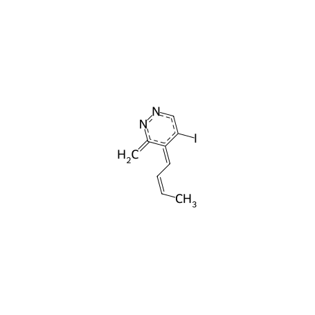 C=c1nncc(I)/c1=C/C=C\C